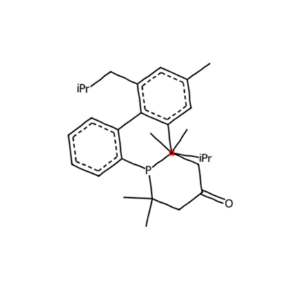 Cc1cc(CC(C)C)c(-c2ccccc2P2C(C)(C)CC(=O)CC2(C)C)c(CC(C)C)c1